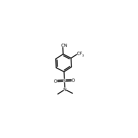 CN(C)S(=O)(=O)c1ccc(C#N)c(C(F)(F)F)c1